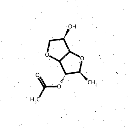 CC(=O)O[C@@H]1C2OC[C@@H](O)C2O[C@H]1C